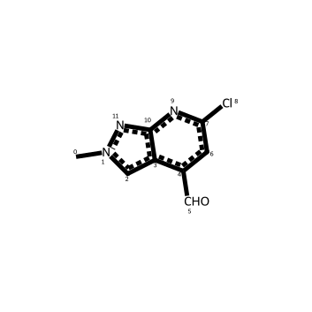 Cn1cc2c(C=O)cc(Cl)nc2n1